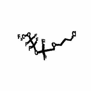 FC(F)(F)OC(F)(F)C(F)(F)OC(F)(F)COCCCCl